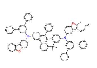 C=C/C=C\c1c(C)oc2ccc(N(c3cc(-c4ccccc4)cc(-c4ccccc4)c3)c3ccc4c(c3)C(C)(C)c3cccc5c3c-4c(-c3ccccc3)c3ccc(N(c4cc(-c6ccccc6)cc(-c6ccccc6)c4)c4ccc6oc7ccccc7c6c4)cc35)cc12